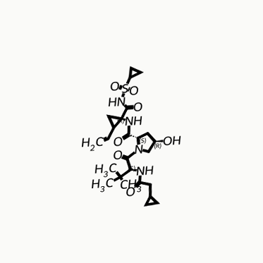 C=CC1C[C@]1(NC(=O)[C@@H]1C[C@@H](O)CN1C(=O)[C@@H](NC(=O)CC1CC1)C(C)(C)C)C(=O)NS(=O)(=O)C1CC1